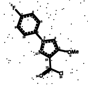 COc1cn(-c2ccc(F)cc2)nc1C(=O)Cl